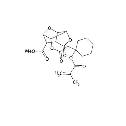 C=C(C(=O)OC1(CC(=O)OC2C3OC(=O)C4C3OC2C4C(=O)OC)CCCCC1)C(F)(F)F